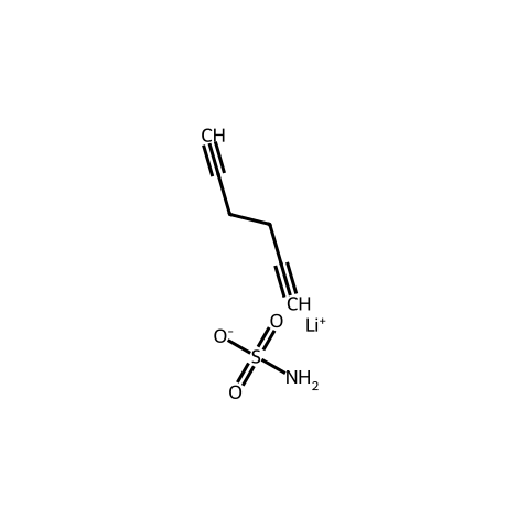 C#CCCC#C.NS(=O)(=O)[O-].[Li+]